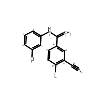 C=C(Nc1cccc(Cl)c1)c1ccc(F)c(C#N)c1